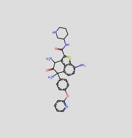 Nc1ccc2c3c(c(C(=O)NC4CCCNC4)sc13)C(N)C(=O)C2(N)c1ccc(Oc2ccccn2)cc1